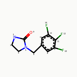 O=C1[N]CCN1Cc1cc(F)c(F)c(F)c1